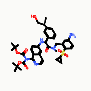 C[C@H](CO)c1cccc(C(Nc2ccc3c(N(C(=O)OC(C)(C)C)C(=O)OC(C)(C)C)nccc3c2)C(=O)N(C)Cc2cc(N)ccc2S(=O)(=O)C2CC2)c1